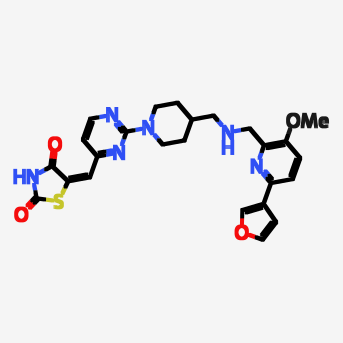 COc1ccc(-c2ccoc2)nc1CNCC1CCN(c2nccc(/C=C3/SC(=O)NC3=O)n2)CC1